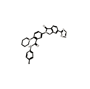 Cc1ccc(NC(=O)c2cc(N3Cc4cc(-c5nnn[nH]5)ccc4C3=O)ccc2N2CCCCC2)cc1